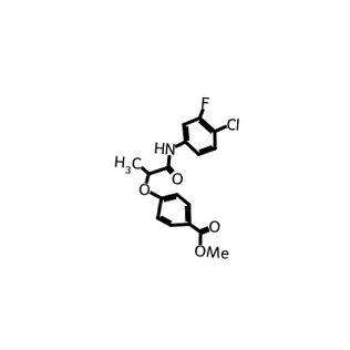 COC(=O)c1ccc(OC(C)C(=O)Nc2ccc(Cl)c(F)c2)cc1